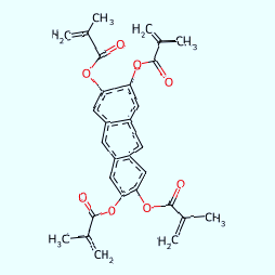 C=C(C)C(=O)Oc1cc2cc3cc(OC(=O)C(=C)C)c(OC(=O)C(=C)C)cc3cc2cc1OC(=O)C(=C)C